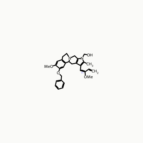 C=C/C(=C\c1c2c(n(CO)c1C)CN1CCc3cc(OC)c(OCc4ccccc4)cc3C1C2)OC